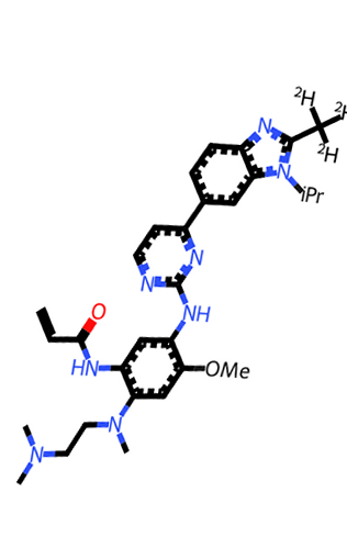 [2H]C([2H])([2H])c1nc2ccc(-c3ccnc(Nc4cc(NC(=O)C=C)c(N(C)CCN(C)C)cc4OC)n3)cc2n1C(C)C